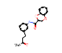 CNC(=O)CCc1cccc(NC(=O)C2COc3ccccc3O2)c1